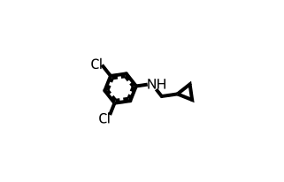 Clc1cc(Cl)cc(NCC2CC2)c1